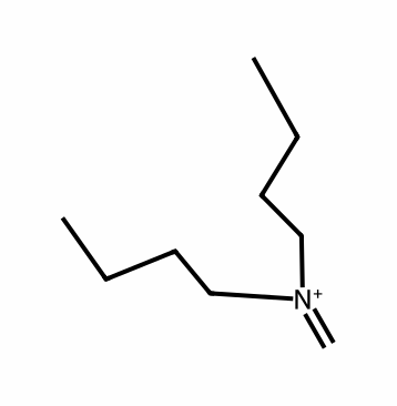 C=[N+](CCCC)CCCC